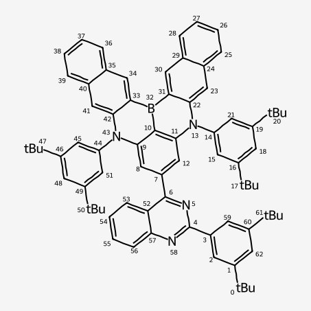 CC(C)(C)c1cc(-c2nc(-c3cc4c5c(c3)N(c3cc(C(C)(C)C)cc(C(C)(C)C)c3)c3cc6ccccc6cc3B5c3cc5ccccc5cc3N4c3cc(C(C)(C)C)cc(C(C)(C)C)c3)c3ccccc3n2)cc(C(C)(C)C)c1